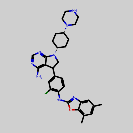 Cc1cc(C)c2oc(Nc3ccc(C4CN([C@H]5CC[C@@H](N6CCNCC6)CC5)c5ncnc(N)c54)cc3F)nc2c1